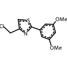 COc1cc(OC)cc(-c2nc(CCl)cs2)c1